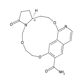 NC(=O)c1cc2ccnc3c2cc1OCCOCN1C(=O)CC[C@H]1CCO3